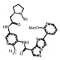 COc1ncccc1-c1cn2ncc(C(=O)Nc3cc(NC(=O)C[C@H]4CCCN4C(C)C)cnc3C)c2s1